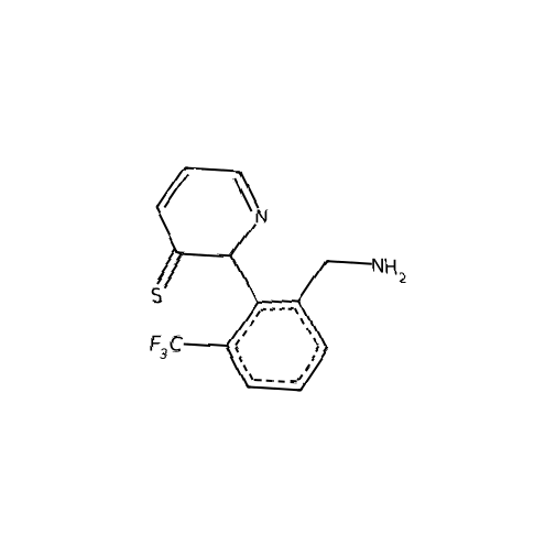 NCc1cccc(C(F)(F)F)c1C1N=CC=CC1=S